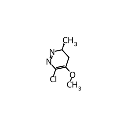 COC1=C(Cl)N=N[C@@H](C)C1